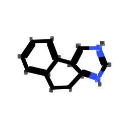 c1ccc2c(c1)CCc1ncncc1-2